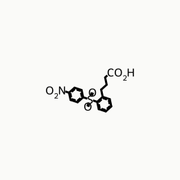 O=C(O)CCCc1ccccc1S(=O)(=O)c1ccc([N+](=O)[O-])cc1